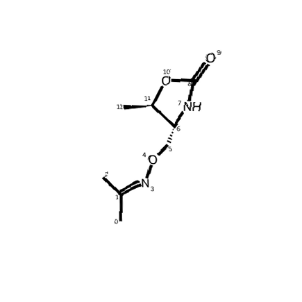 CC(C)=NOC[C@H]1NC(=O)O[C@@H]1C